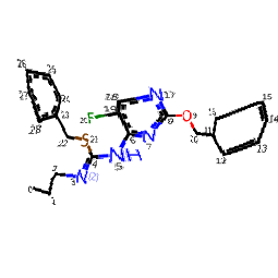 CCC/N=C(/Nc1nc(OCC2C=CC=CC2)ncc1F)SCc1ccccc1